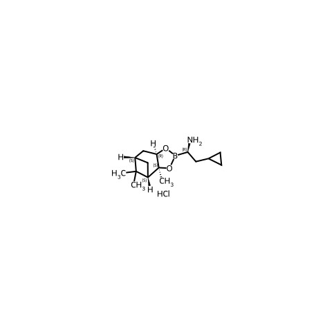 CC1(C)[C@@H]2C[C@H]3OB([C@@H](N)CC4CC4)O[C@@]3(C)[C@H]1C2.Cl